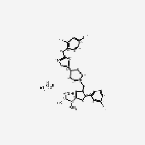 CC(C)[C@H](C(=O)O)N(C)C1CC(CN2CCC(c3cnc(Cc4ccc(F)cc4F)s3)CC2)C(c2cccc(F)c2)C1.Cl.Cl.Cl